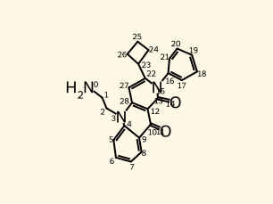 NCCn1c2ccccc2c(=O)c2c(=O)n(-c3ccccc3)c(C3CCC3)cc21